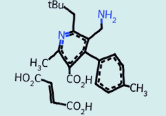 Cc1ccc(-c2c(CN)c(CC(C)(C)C)nc(C)c2C(=O)O)cc1.O=C(O)C=CC(=O)O